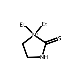 CC[N+]1(CC)CCNC1=S